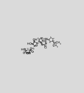 CN(C)[C@H]1CCC(Nc2nc(Cl)nn3c([C@@H]4O[C@H](COP(=O)(O)CP(=O)(O)O)[C@@H](O)[C@H]4O)cnc23)C1